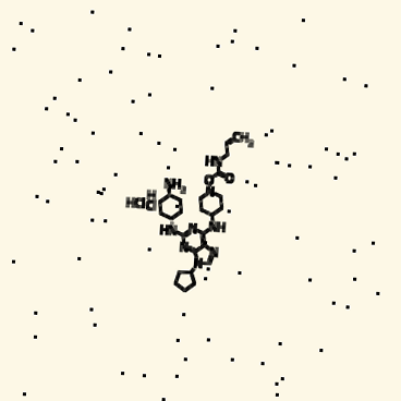 C=CCNC(=O)ON1CCC(Nc2nc(N[C@H]3CC[C@H](N)CC3)nc3c2ncn3C2CCCC2)CC1.Cl.Cl